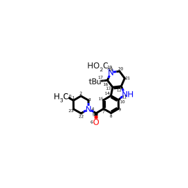 CC1CCN(C(=O)c2ccc3[nH]c4c(c3c2)C(C(C)(C)C)N(C(=O)O)CC4)CC1